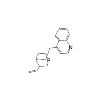 C=CC1CP2CCC1CC2Cc1ccnc2ccccc12